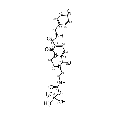 CC(C)(C)OC(=O)NCCN1CCn2c(ccc(C(=O)NCc3ccc(Cl)cc3)c2=O)C1=O